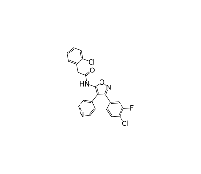 O=C(Cc1ccccc1Cl)Nc1onc(-c2ccc(Cl)c(F)c2)c1-c1ccncc1